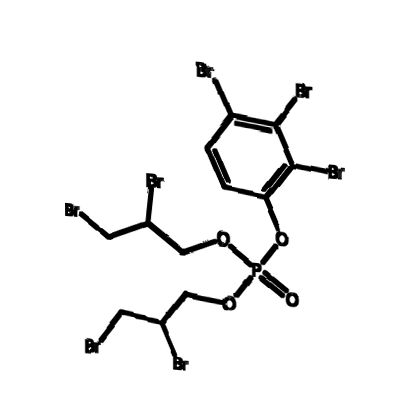 O=P(OCC(Br)CBr)(OCC(Br)CBr)Oc1ccc(Br)c(Br)c1Br